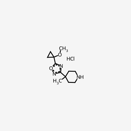 COC1(c2nc(C3(C)CCNCC3)no2)CC1.Cl